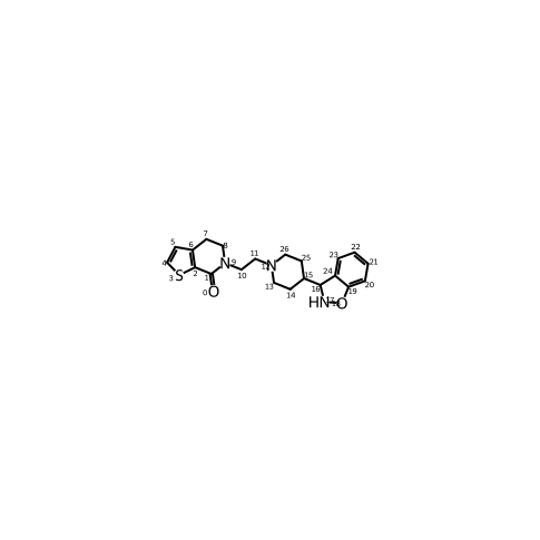 O=C1c2sccc2CCN1CCN1CCC(C2NOc3ccccc32)CC1